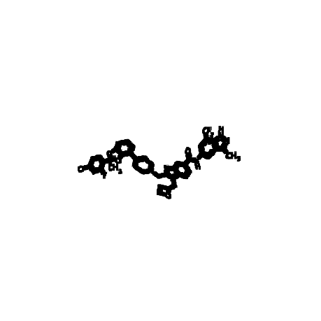 Cc1n[nH]c2c(C(F)(F)F)cc(NC(=O)c3ccc4c(c3)nc(CN3CC=C(c5cccc6c5O[C@](C)(c5ccc(Cl)cc5F)O6)CC3)n4CC3CCO3)cc12